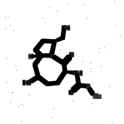 CC(C)(C)OC(=O)N[C@H]1CCC(O)C[C@H]2CC[C@@H](CO)N2C1=O